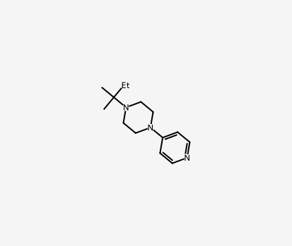 CCC(C)(C)N1CCN(c2ccncc2)CC1